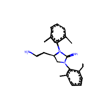 Cc1cccc(C)c1N1CC(CCN)N(c2c(C)cccc2C)C1=N